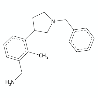 Cc1c(CN)cccc1C1CCN(Cc2ccccc2)C1